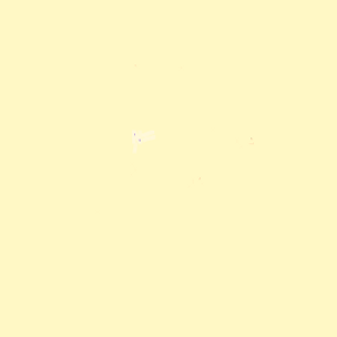 CC(=O)OC1CC2(CC3CCC2C3)C(=NOCc2ccccc2)C1OC(C)=O